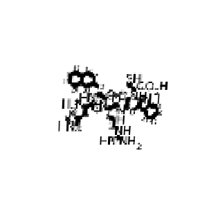 N=C(N)NCCC[C@H](NC(=O)[C@@H](Cc1ccc2ccccc2c1)NC(=O)[C@@H](N)Cc1c[nH]cn1)C(=O)N[C@@H](Cc1c[nH]c2ccccc12)C(=O)N[C@@H](CS)C(=O)O